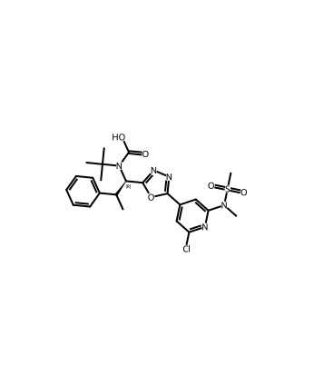 CC(c1ccccc1)[C@H](c1nnc(-c2cc(Cl)nc(N(C)S(C)(=O)=O)c2)o1)N(C(=O)O)C(C)(C)C